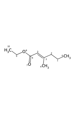 CCC/C(C)=C/C(=O)OCC